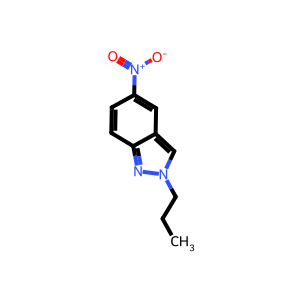 CCCn1cc2cc([N+](=O)[O-])ccc2n1